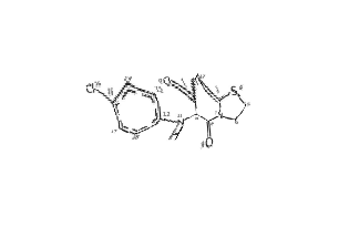 O=C1N=C2SCCN2C(=O)C1Nc1ccc(Cl)cc1